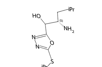 CC(C)C[C@H](N)C(O)c1nnc(SC(C)C)o1